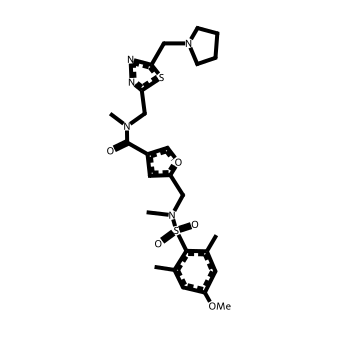 COc1cc(C)c(S(=O)(=O)N(C)Cc2cc(C(=O)N(C)Cc3nnc(CN4CCCC4)s3)co2)c(C)c1